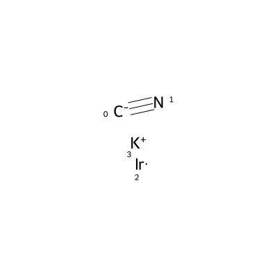 [C-]#N.[Ir].[K+]